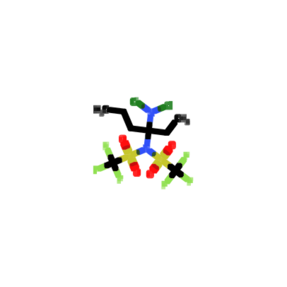 CCCC(CC)(N(Cl)Cl)N(S(=O)(=O)C(F)(F)F)S(=O)(=O)C(F)(F)F